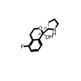 O[C@@]1([C@@H]2CCCN2)OCCc2c(F)cccc21